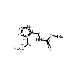 CC(C)(C)OC(=O)NCc1nnnn1CC(=O)O